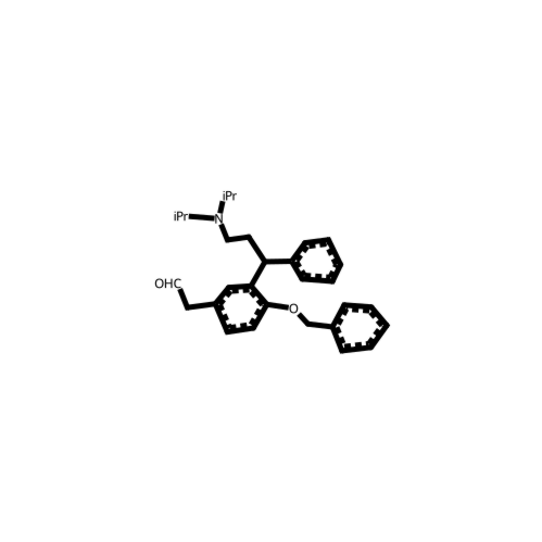 CC(C)N(CCC(c1ccccc1)c1cc(CC=O)ccc1OCc1ccccc1)C(C)C